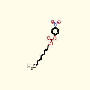 CCCCCCC=CCOC(=O)Oc1ccc([N+](=O)[O-])cc1